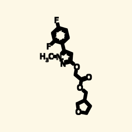 Cn1nc(OCC(=O)OCC2CCOC2)cc1-c1ccc(F)cc1F